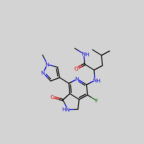 CNC(=O)C(CC(C)C)Nc1nc(-c2cnn(C)c2)c2c(c1F)CNC2=O